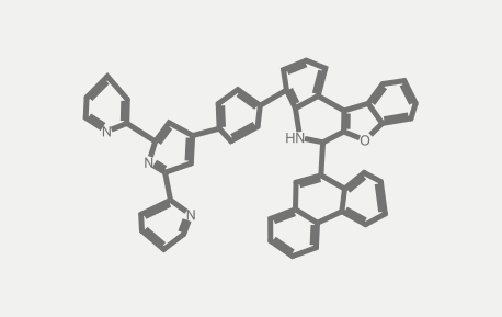 c1ccc(-c2cc(-c3ccc(-c4cccc5c4NC(c4cc6ccccc6c6ccccc46)c4oc6ccccc6c4-5)cc3)cc(-c3ccccn3)n2)nc1